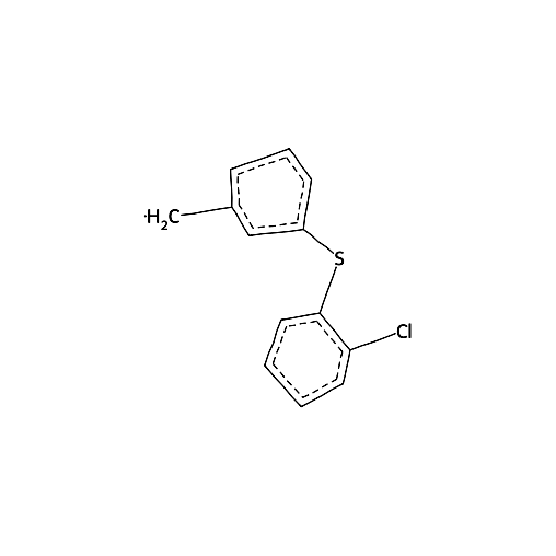 [CH2]c1cccc(Sc2ccccc2Cl)c1